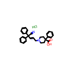 Cl.N#CC(/C=C/CN1CCC(C(=O)O)(c2ccccc2)CC1)(c1ccccc1)c1ccccc1